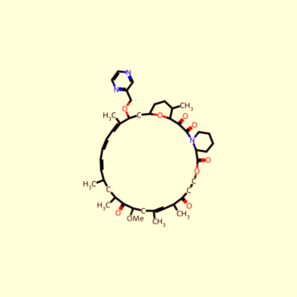 COC1CC(C)=CC(C)C(=O)CCOC(=O)C2CCCCN2C(=O)C(=O)C2OC(CCC2C)CC(OCc2cnccn2)C(C)=CC=CC=CC(C)CC(C)C1=O